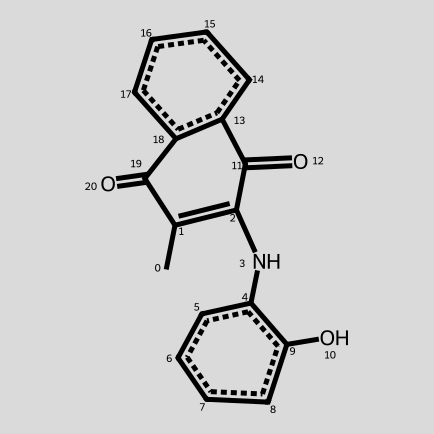 CC1=C(Nc2ccccc2O)C(=O)c2ccccc2C1=O